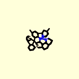 Cc1cc2c3c(c1)C1(c4ccccc4-c4ccccc41)c1ccc4ccc5ccc[n+]6c5c4c1[N+]36[n+]1ccc(C)cc1-2